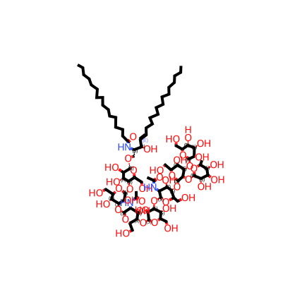 CCCCCCCCCCCCC/C=C/[C@@H](O)[C@H](CO[C@@H]1OC(CO)[C@@H](O[C@@H]2OC(CO)[C@H](O)[C@H](O[C@@H]3OC(CO)[C@@H](O[C@@H]4OC(CO)[C@H](O)[C@H](O[C@@H]5OC(CO)[C@@H](O[C@@H]6OC(CO)[C@H](O)[C@H](O[C@H]7OC(CO)[C@H](O)[C@H](O)C7O)C6O[C@H]6OC(C)[C@@H](O)C(O)[C@@H]6O)[C@H](O)C5NC(C)=O)C4O)[C@H](O)C3NC(C)=O)C2O)[C@H](O)C1O)NC(=O)CCCCCCCCCCCCCCC